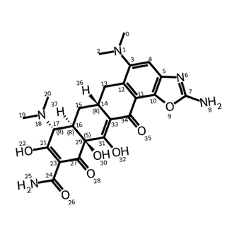 CN(C)c1cc2nc(N)oc2c2c1C[C@H]1C[C@@H]3[C@@H](N(C)C)C(O)=C(C(N)=O)C(=O)[C@@]3(O)C(O)=C1C2=O